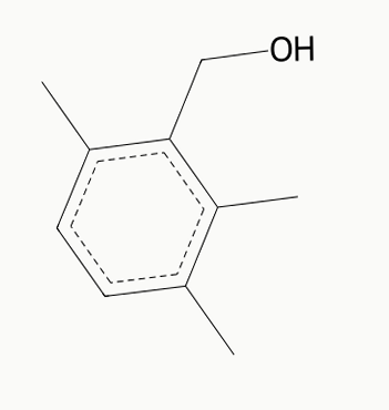 Cc1ccc(C)c(CO)c1C